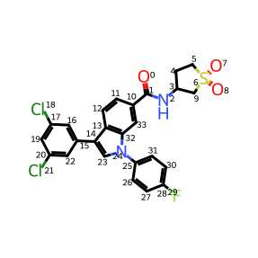 O=C(NC1CCS(=O)(=O)C1)c1ccc2c(-c3cc(Cl)cc(Cl)c3)cn(-c3ccc(F)cc3)c2c1